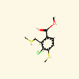 COC(=O)c1ccc(SC)c(Cl)c1CSC